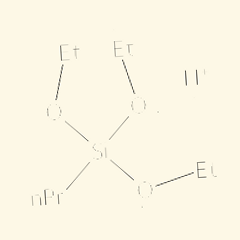 CCC[Si](OCC)(OCC)OCC.[H+]